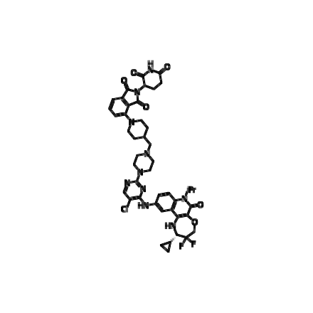 CC(C)n1c(=O)c2c(c3cc(Nc4nc(N5CCN(CC6CCN(c7cccc8c7C(=O)N(C7CCC(=O)NC7=O)C8=O)CC6)CC5)ncc4Cl)ccc31)N[C@@H](C1CC1)C(F)(F)CO2